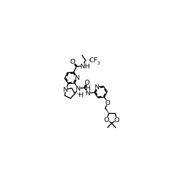 C[C@@H](NC(=O)c1ccc2c(n1)N(C(=O)Nc1cc(OC[C@H]3COC(C)(C)O3)ccn1)[C@H]1CCN2C1)C(F)(F)F